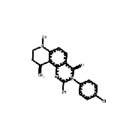 C=C1CCN(C(C)=O)c2ccc3c(=O)n(-c4ccc(Cl)cc4)c(C(C)C)nc3c21